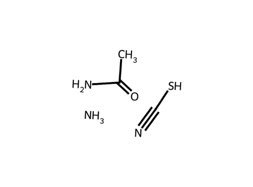 CC(N)=O.N.N#CS